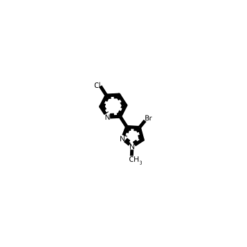 Cn1cc(Br)c(-c2ccc(Cl)cn2)n1